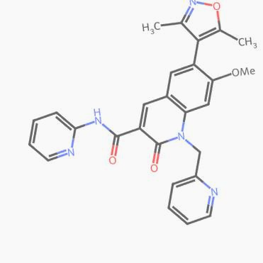 COc1cc2c(cc1-c1c(C)noc1C)cc(C(=O)Nc1ccccn1)c(=O)n2Cc1ccccn1